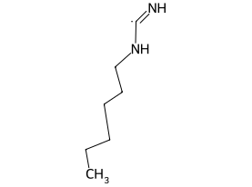 CCCCCCN[C]=N